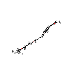 C=CC(=O)OCCCCCCOc1ccc(C(=O)Oc2ccc([C@H]3CC[C@H](OCCCCCCOC(=O)CCCCCOC(=O)CCCCCOC(=O)CCCCCOC(=O)C(=C)C)CC3)cc2)cc1